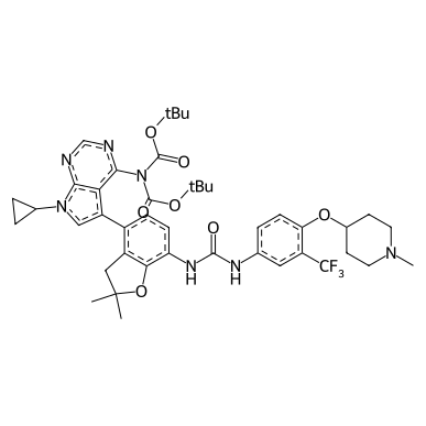 CN1CCC(Oc2ccc(NC(=O)Nc3ccc(-c4cn(C5CC5)c5ncnc(N(C(=O)OC(C)(C)C)C(=O)OC(C)(C)C)c45)c4c3OC(C)(C)C4)cc2C(F)(F)F)CC1